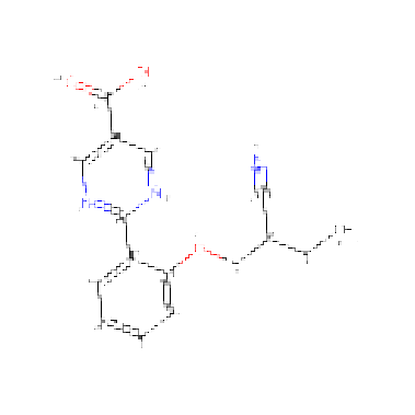 CCC(C#N)COc1ccccc1-c1ncc(C(=O)O)cn1